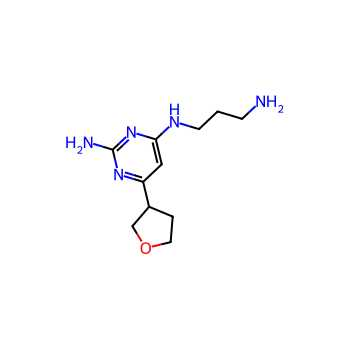 NCCCNc1cc(C2CCOC2)nc(N)n1